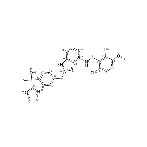 COc1ccc(Cl)c(CNc2ncnc3nn(Cc4ccc(C(C)(O)c5ncco5)cc4)cc23)c1F